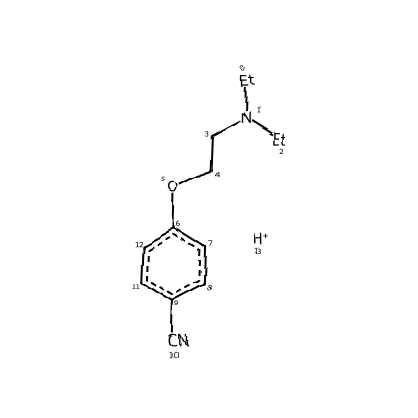 CCN(CC)CCOc1ccc(C#N)cc1.[H+]